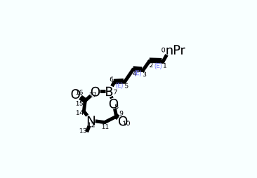 CCC/C=C/C=C/C=C/B1OC(=O)CN(C)CC(=O)O1